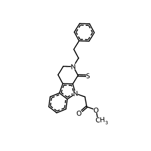 COC(=O)Cn1c2c(c3ccccc31)CCN(CCc1ccccc1)C2=S